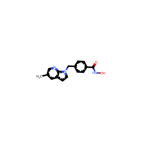 Cc1cnc2c(ccn2Cc2ccc(C(=O)NO)cc2)c1